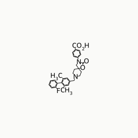 Cc1cc(CN2CCC3(CC2)CN(c2ccc(C(=O)O)cc2)C(=O)O3)cc(C)c1-c1ccccc1F